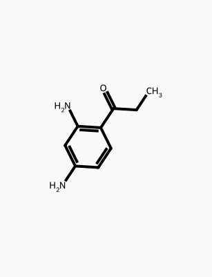 CCC(=O)c1ccc(N)cc1N